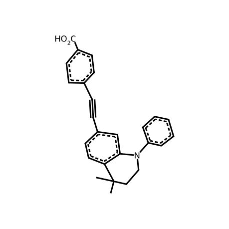 CC1(C)CCN(c2ccccc2)c2cc(C#Cc3ccc(C(=O)O)cc3)ccc21